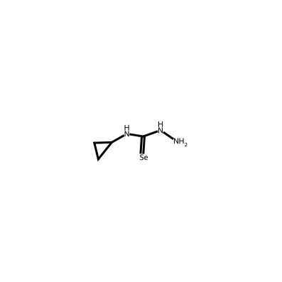 NNC(=[Se])NC1CC1